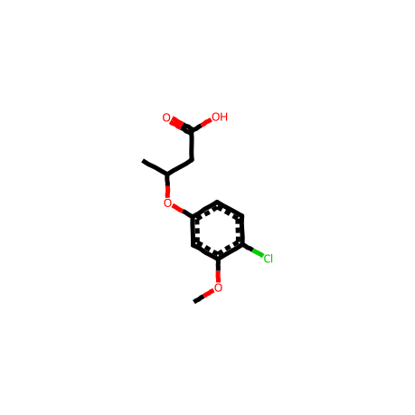 COc1cc(OC(C)CC(=O)O)ccc1Cl